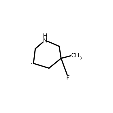 CC1(F)C[CH]CNC1